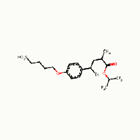 CCC(CC(C)C(=O)OC(C(F)(F)F)C(F)(F)F)c1ccc(OCCCCS(=O)(=O)O)cc1